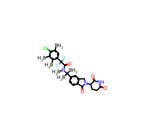 Bc1cc(C(F)(F)C(=O)N(B)C(B)(B)c2ccc3c(c2)CN(C2CCC(=O)NC2=O)C3=O)c(B)c(B)c1Cl